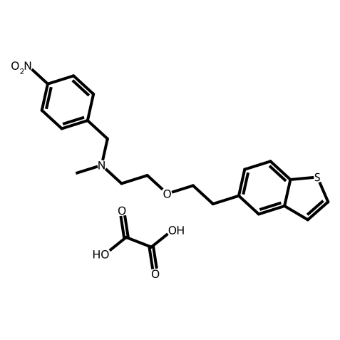 CN(CCOCCc1ccc2sccc2c1)Cc1ccc([N+](=O)[O-])cc1.O=C(O)C(=O)O